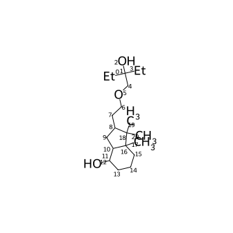 CCC(O)(CC)COCCC1CC2C(O)CCCC2(C)C1(C)C